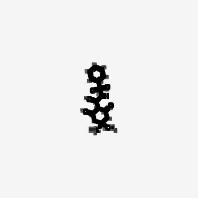 CC1(C)CC(=O)C(C(=O)NS(=O)(=O)c2ccccc2)C(=O)C1